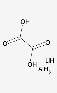 O=C(O)C(=O)O.[AlH3].[LiH]